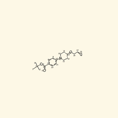 CC(C)(C)OC(=O)c1ccc(N2CCC(OCC=O)CC2)cc1